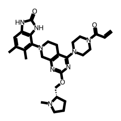 C=CC(=O)N1CCN(c2nc(OC[C@@H]3CCCN3C)nc3c2CCN(c2c(C)c(C)cc4[nH]c(=O)[nH]c24)C3)CC1